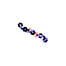 O=C(Nc1ccc(OC(=O)N2CCN(Cc3cnccn3)CC2)cn1)c1ccc(CN2CCCCC2)cc1